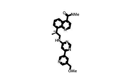 CNC(=O)c1ccnc2c([C@H](C)CNc3cc(-c4cncc(COC)c4)ncn3)cccc12